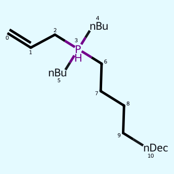 C=CC[PH](CCCC)(CCCC)CCCCCCCCCCCCCC